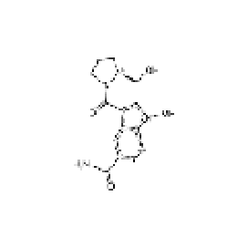 NC(=O)c1cc2c(C(=O)N3CCC[C@H]3CO)cn(O)c2cn1